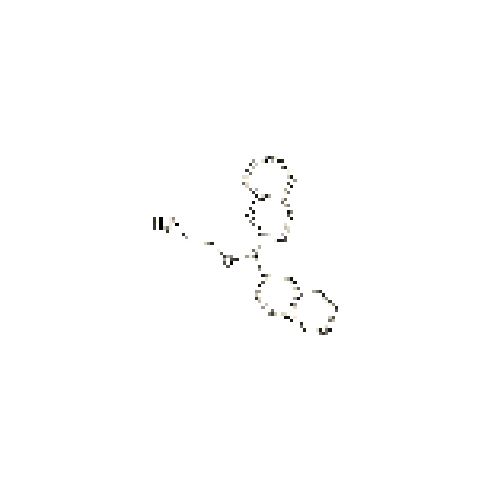 NCCOB(c1ccc2ccccc2c1)c1ccc2ccccc2c1